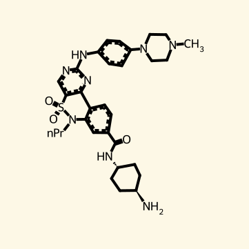 CCCN1c2cc(C(=O)N[C@H]3CC[C@H](N)CC3)ccc2-c2nc(Nc3ccc(N4CCN(C)CC4)cc3)ncc2S1(=O)=O